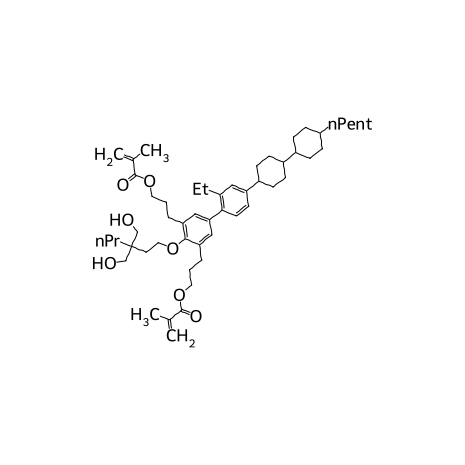 C=C(C)C(=O)OCCCc1cc(-c2ccc(C3CCC(C4CCC(CCCCC)CC4)CC3)cc2CC)cc(CCCOC(=O)C(=C)C)c1OCCC(CO)(CO)CCC